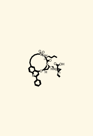 C=C[C@@H]1C[C@]1(NC[C@@H]1C[C@@H]2CN1C(=O)[C@H](CCCC)NS(=O)(=O)CCCCCc1ccc3nc(-c4ccccc4)cc(c3c1)O2)C(=O)O